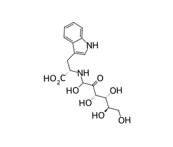 O=C(O)[C@H](Cc1c[nH]c2ccccc12)NC(O)C(=O)[C@@H](O)[C@H](O)[C@H](O)CO